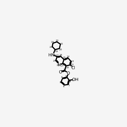 O=C(Oc1ccccc1O)c1c(Cl)ccc2cc(NC3CCCCC3)cnc12